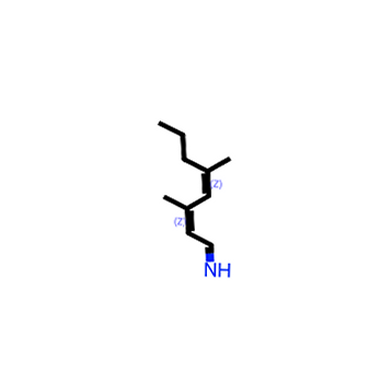 CCC/C(C)=C\C(C)=C/C=N